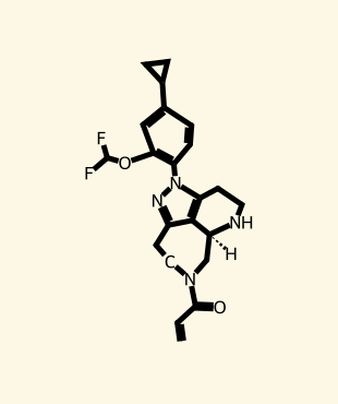 C=CC(=O)N1CCc2nn(-c3ccc(C4CC4)cc3OC(F)F)c3c2[C@H](C1)NCC3